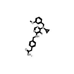 COc1cccc(CN(c2ncnc(NCc3ccc(CC(N)=O)cc3)c2F)C2CC2)c1